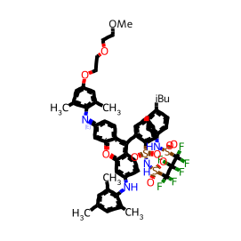 CCC(C)c1ccc(NS(=O)(=O)C(F)(F)C(F)(F)C(F)(F)S(=O)(=O)NS(=O)(=O)c2ccccc2-c2c3cc/c(=N\c4c(C)cc(OCCOCCOC)cc4C)cc-3oc3cc(Nc4c(C)cc(C)cc4C)ccc23)cc1